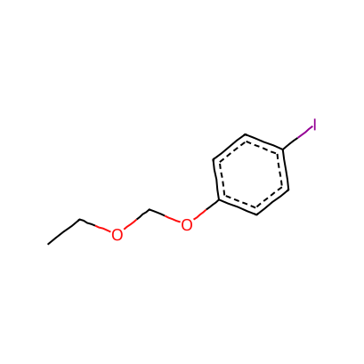 CCOCOc1ccc(I)cc1